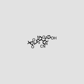 Cc1nc(C#N)cc(-c2ccnc3cc(CN4C(=O)C5C(C4=O)C5(C)C)sc23)c1C(=O)N1CCC(O)C1